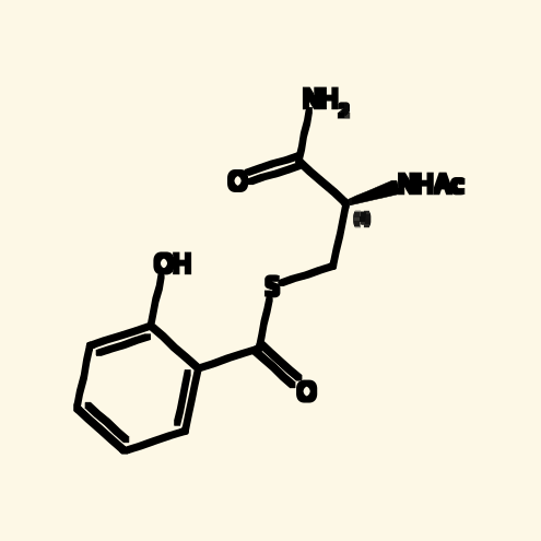 CC(=O)N[C@@H](CSC(=O)c1ccccc1O)C(N)=O